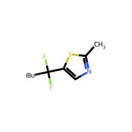 CCC(C)C(F)(F)c1cnc(C)s1